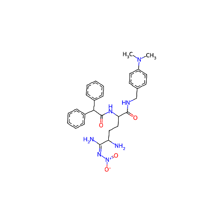 CN(C)c1ccc(CNC(=O)C(CCC(N)/C(N)=N\[N+](=O)[O-])NC(=O)C(c2ccccc2)c2ccccc2)cc1